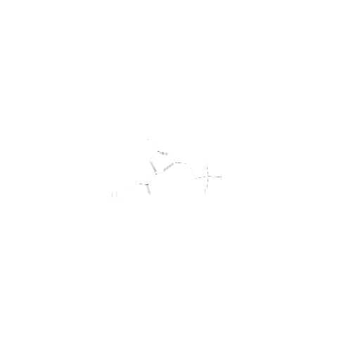 COC(=O)c1cc(Br)cc(OCC(F)(F)F)c1